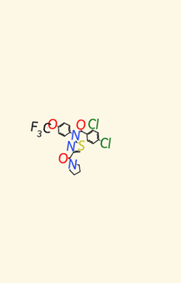 O=C(c1csc(N(C(=O)c2ccc(Cl)cc2Cl)c2ccc(OC(F)(F)F)cc2)n1)N1CCCC1